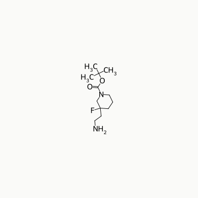 CC(C)(C)OC(=O)N1CCCC(F)(CCN)C1